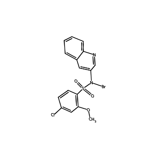 COc1cc(Cl)ccc1S(=O)(=O)N(Br)c1cnc2ccccc2c1